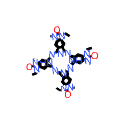 CCn1c(=O)n(C)c2cc3c(cc21)-c1nc-3nc2[nH]c(nc3nc(nc4[nH]c(n1)c1cc5c(cc41)n(C)c(=O)n5CC)-c1cc4c(cc1-3)n(CC)c(=O)n4C)c1cc3c(cc21)n(C)c(=O)n3CC